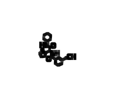 C#Cc1cccc(C(=O)NC(C(=O)NC2CCCCC2)c2cccs2)c1